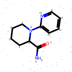 NC(=O)C1CCCCN1c1cc[c]cn1